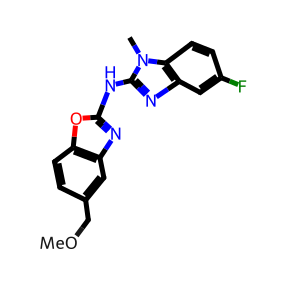 COCc1ccc2oc(Nc3nc4cc(F)ccc4n3C)nc2c1